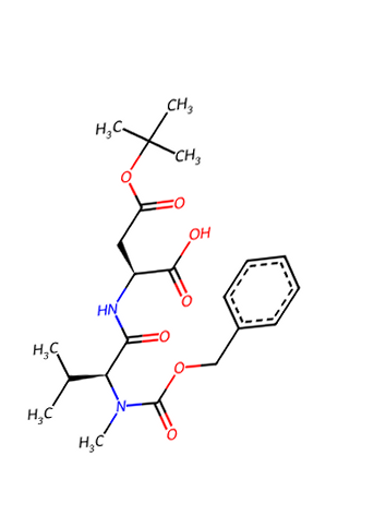 CC(C)[C@@H](C(=O)N[C@@H](CC(=O)OC(C)(C)C)C(=O)O)N(C)C(=O)OCc1ccccc1